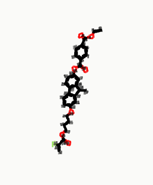 C=COC(=O)c1ccc(C(=O)Oc2ccc3c(c2)C(C)c2cc(OCCCCOC(=O)C(=C)F)ccc2-3)cc1